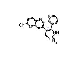 CN/C(=C(\C=N)c1cnc2ccc(Cl)nc2c1)c1cccnc1